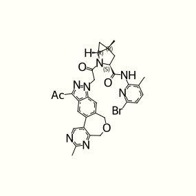 CC(=O)c1nn(CC(=O)N2[C@H](C(=O)Nc3nc(Br)ccc3C)C[C@@]3(C)C[C@@H]23)c2cc3c(cc12)-c1cnc(C)nc1COC3